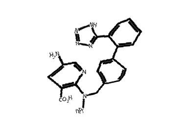 CCCN(Cc1ccc(-c2ccccc2-c2nnn[nH]2)cc1)c1ncc(N)cc1C(=O)O